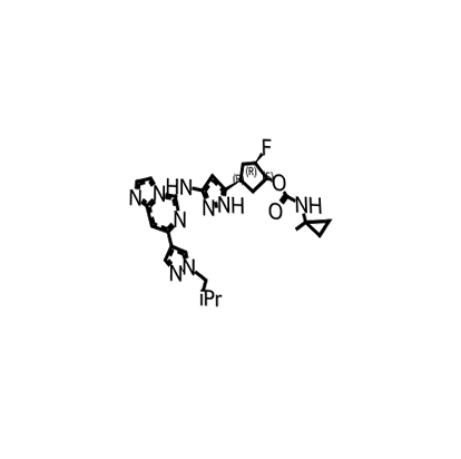 CC(C)Cn1cc(-c2cc3nccn3c(Nc3cc([C@H]4C[C@@H](F)[C@@H](OC(=O)NC5(C)CC5)C4)[nH]n3)n2)cn1